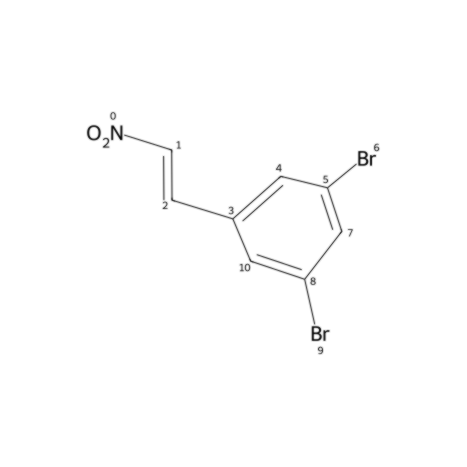 O=[N+]([O-])C=Cc1cc(Br)cc(Br)c1